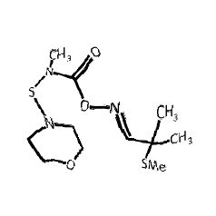 CSC(C)(C)C=NOC(=O)N(C)SN1CCOCC1